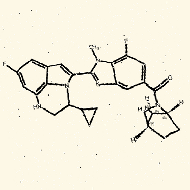 Cn1c(-c2cc3cc(F)cc4c3n2C(C2CC2)CN4)nc2cc(C(=O)N3C[C@H]4CC[C@@H]3[C@@H]4N)cc(F)c21